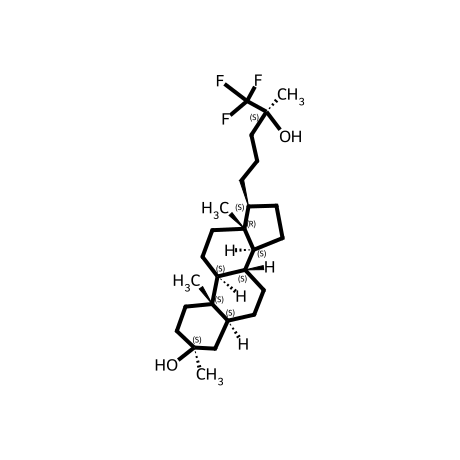 C[C@]1(O)CC[C@@]2(C)[C@@H](CC[C@@H]3[C@@H]2CC[C@]2(C)[C@@H](CCC[C@](C)(O)C(F)(F)F)CC[C@@H]32)C1